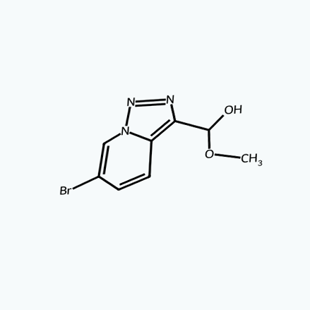 COC(O)c1nnn2cc(Br)ccc12